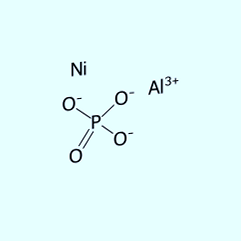 O=P([O-])([O-])[O-].[Al+3].[Ni]